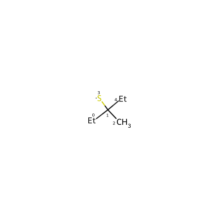 CCC(C)([S])CC